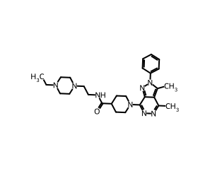 CCN1CCN(CCNC(=O)C2CCN(c3nnc(C)c4c(C)n(-c5ccccc5)nc34)CC2)CC1